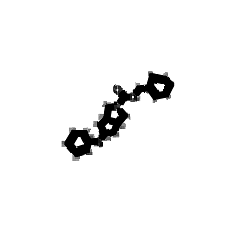 O=C(OCc1ccccc1)N1CC2CC(Sc3ccccc3)CC2C1